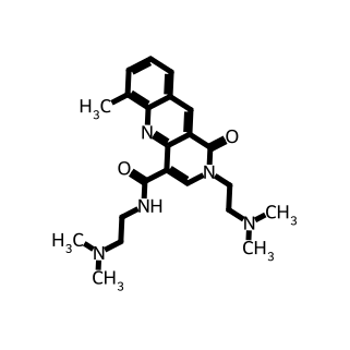 Cc1cccc2cc3c(=O)n(CCN(C)C)cc(C(=O)NCCN(C)C)c3nc12